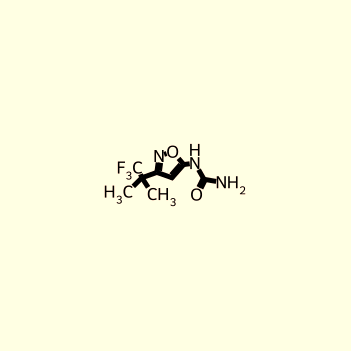 CC(C)(c1cc(NC(N)=O)on1)C(F)(F)F